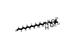 CCCCCCCCCCCCCCNCC(=O)OC(C)(C)C